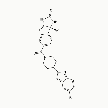 CC(C)[C@]1(c2ccc(C(=O)N3CCC(n4cc5cc(Br)ccc5n4)CC3)cc2)NC(=O)NC1=O